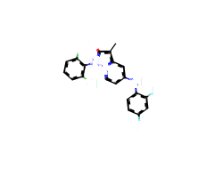 Cc1c(=O)n(-c2c(Cl)cccc2Cl)n2ccc(Nc3ccc(F)cc3F)cc12